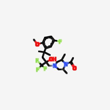 COc1ccc(F)cc1C(C)(C)CC(O)(CN1CC(C)N(C(C)=O)C(C)C1)C(F)(F)F